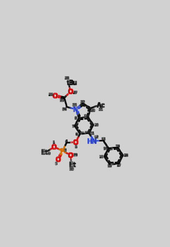 CCOP(=O)(COc1cc2c(cc1NCc1ccccc1)c(C(C)=O)cn2CC(=O)OC(C)(C)C)OCC